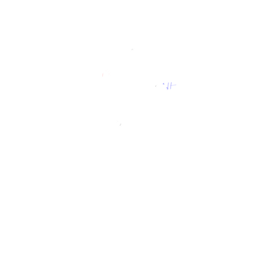 CC(C)CC1CNCCOC1